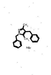 Br.Cc1nn(Cc2ccccc2)c(C)c1Cc1ccccc1